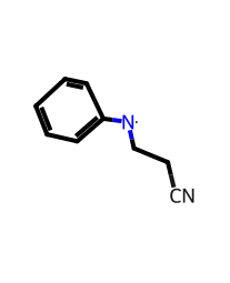 N#CCC[N]c1ccccc1